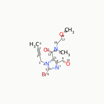 CC#CCn1c(Br)nc(C=O)c1C(=O)N(C)CCOC